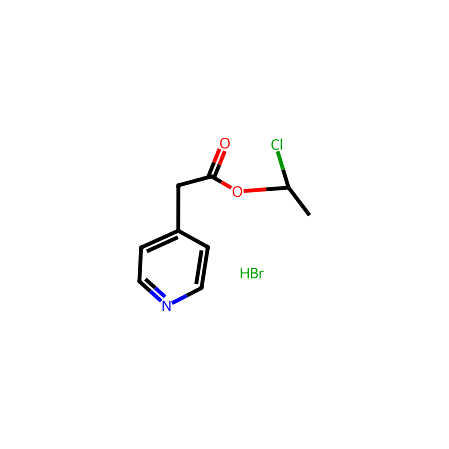 Br.CC(Cl)OC(=O)Cc1ccncc1